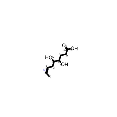 C/C=C\CC(O)C(O)CCC(=O)O